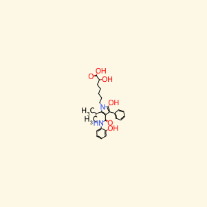 CC(C)c1c(C(=O)Nc2ccccc2O)c(-c2ccccc2)c(O)n1CCCCCC(O)C(=O)O